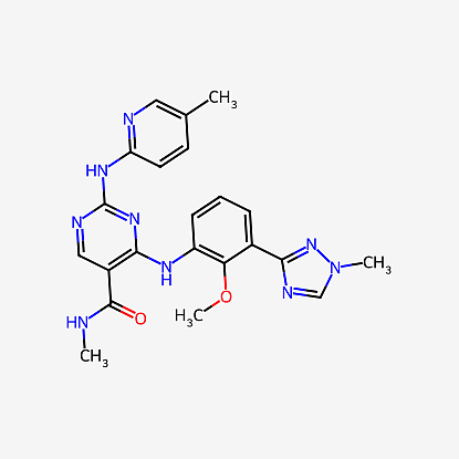 CNC(=O)c1cnc(Nc2ccc(C)cn2)nc1Nc1cccc(-c2ncn(C)n2)c1OC